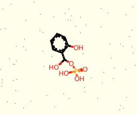 O=P(O)(O)OC(O)c1ccccc1O